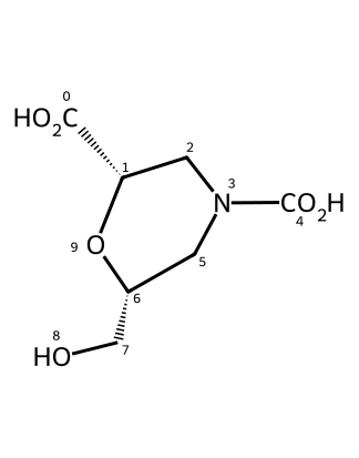 O=C(O)[C@@H]1CN(C(=O)O)C[C@H](CO)O1